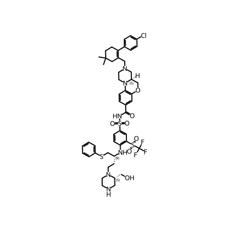 CC1(C)CCC(c2ccc(Cl)cc2)=C(CN2CCN3c4ccc(C(=O)NS(=O)(=O)c5ccc(N[C@H](CCN6CCNC[C@H]6CO)CSc6ccccc6)c(S(=O)(=O)C(F)(F)F)c5)cc4OC[C@@H]3C2)C1